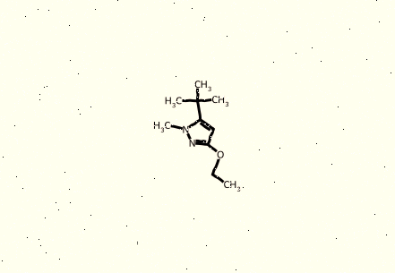 CCOc1cc(C(C)(C)C)n(C)n1